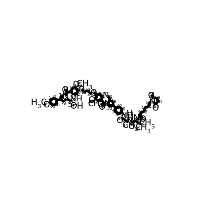 COc1ccc(C2=CN3C(=O)c4cc(OC)c(OCCCOc5cc6c(cc5OC)C(=O)N5C=C(c7ccc(NC(=O)C(C)NC(=O)C(NC(=O)CCCCCN8C(=O)C=CC8=O)C(C)C)cc7)CC5C=N6)cc4NC(SO)C3C2)cc1